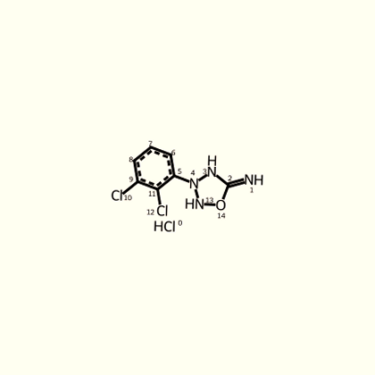 Cl.N=C1NN(c2cccc(Cl)c2Cl)NO1